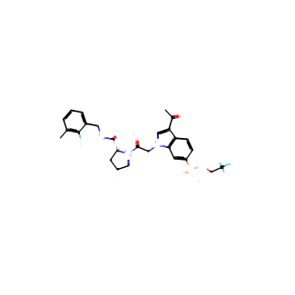 CC(=O)c1cn(CC(=O)N2C[C@H](F)C[C@H]2C(=O)NCc2cccc(C)c2F)c2cc(P(=O)(O)OCC(F)(F)F)ccc12